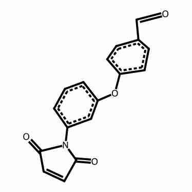 O=Cc1ccc(Oc2cccc(N3C(=O)C=CC3=O)c2)cc1